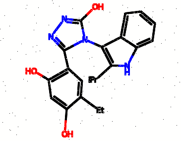 CCc1cc(-c2nnc(O)n2-c2c(C(C)C)[nH]c3ccccc23)c(O)cc1O